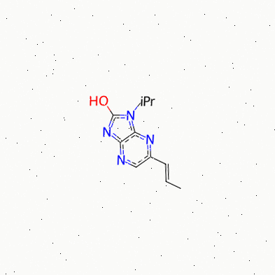 CC=Cc1cnc2nc(O)n(C(C)C)c2n1